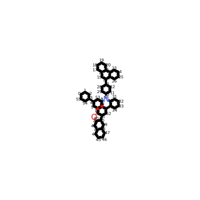 c1ccc(-c2cccc(N(c3ccc(-c4cc5ccccc5c5ccccc45)cc3)c3ccccc3-c3ccc4oc5cc6ccccc6cc5c4c3)c2)cc1